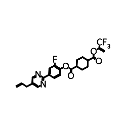 C=CCc1cnc(-c2ccc(OC(=O)C3CCC(C(=O)OC(=C)C(F)(F)F)CC3)c(F)c2)nc1